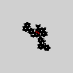 CCc1cc(N(c2ccc(-c3cccc4c3oc3ccccc34)c(C)c2)c2cccc3c(C)cc4c(C(C)C)cccc4c23)ccc1-c1ccc(-c2cccc3ccccc23)cc1